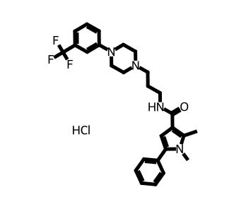 Cc1c(C(=O)NCCCN2CCN(c3cccc(C(F)(F)F)c3)CC2)cc(-c2ccccc2)n1C.Cl